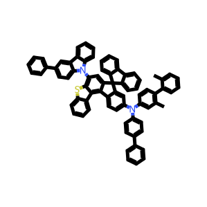 Cc1ccccc1-c1ccc(N(c2ccc(-c3ccccc3)cc2)c2ccc3c(c2)C2(c4ccccc4-c4ccccc42)c2cc(-n4c5ccccc5c5cc(-c6ccccc6)ccc54)c4sc5ccccc5c4c2-3)cc1C